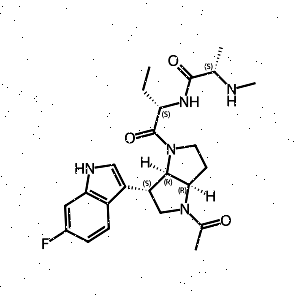 CC[C@H](NC(=O)[C@H](C)NC)C(=O)N1CC[C@@H]2[C@H]1[C@@H](c1c[nH]c3cc(F)ccc13)CN2C(C)=O